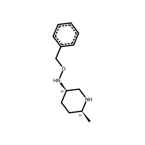 C[C@H]1CC[C@@H](NOCc2ccccc2)CN1